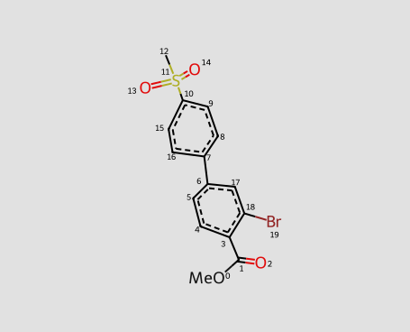 COC(=O)c1ccc(-c2ccc(S(C)(=O)=O)cc2)cc1Br